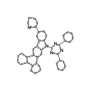 c1ccc(-c2nc(-c3ccccc3)nc(-n3c4ccc(-c5ccccn5)cc4c4cc5c6ccccc6c6ccccc6c5cc43)n2)cc1